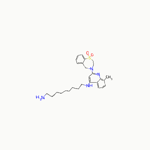 Cc1cccc2c(NCCCCCCCCCN)cc(N3CCS(=O)(=O)c4ccccc4C3)nc12